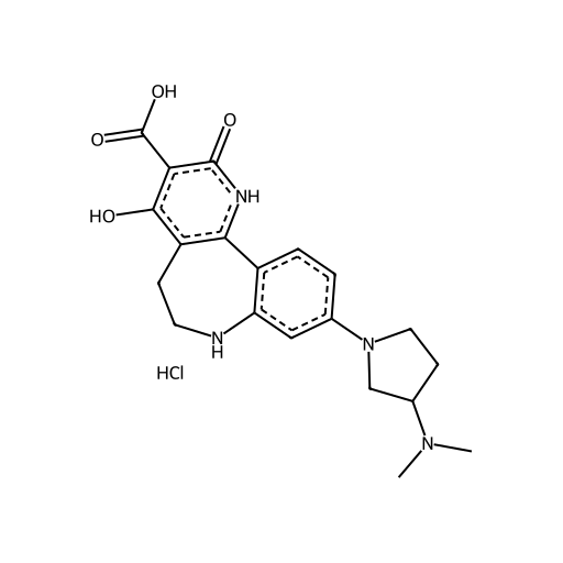 CN(C)C1CCN(c2ccc3c(c2)NCCc2c-3[nH]c(=O)c(C(=O)O)c2O)C1.Cl